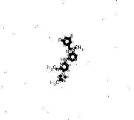 COc1nc(Nc2cccc3c2nc(-c2cc(F)cc(F)c2)n3C)ccc1-n1cnc(C)c1